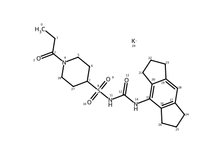 CCC(=O)N1CCC(S(=O)(=O)NC(=O)Nc2c3c(cc4c2CCC4)CCC3)CC1.[K]